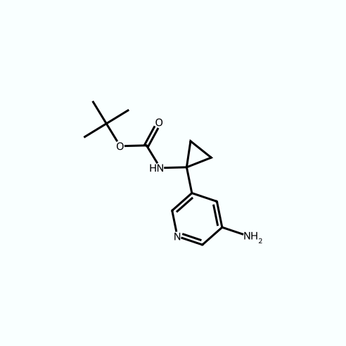 CC(C)(C)OC(=O)NC1(c2cncc(N)c2)CC1